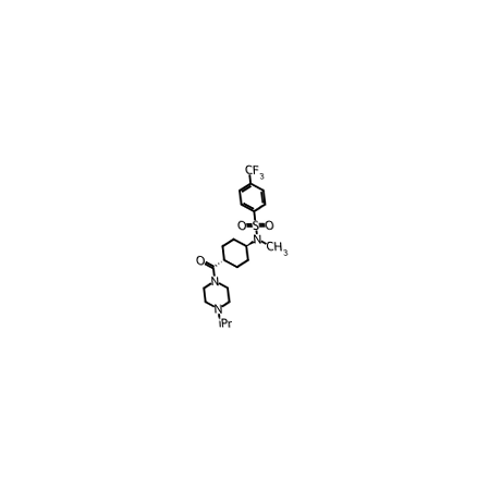 CC(C)N1CCN(C(=O)[C@H]2CC[C@H](N(C)S(=O)(=O)c3ccc(C(F)(F)F)cc3)CC2)CC1